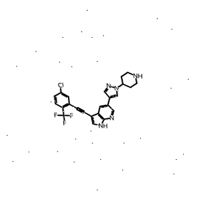 FC(F)(F)c1ccc(Cl)cc1C#Cc1c[nH]c2ncc(-c3cnn(C4CCNCC4)c3)cc12